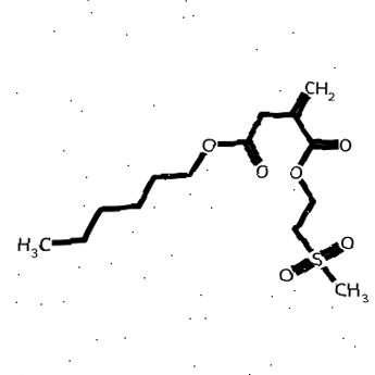 C=C(CC(=O)OCCCCCC)C(=O)OCCS(C)(=O)=O